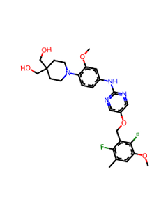 COc1cc(Nc2ncc(OCc3c(F)c(C)cc(OC)c3F)cn2)ccc1N1CCC(CO)(CO)CC1